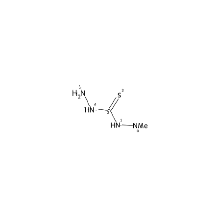 CNNC(=S)NN